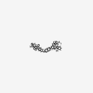 C[C@@H]1Cc2c([nH]c3ccccc23)[C@@H](c2c(F)cc(N3CCC4(CCN(CC5Cc6cc7c(cc6C5)C(=O)N(C5CCC(=O)NC5=O)C7=O)CC4)CC3)cc2F)N1CC(F)(F)F